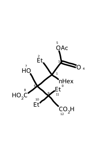 CCCCCCC(CC)(C(=O)OC(C)=O)C(O)(C(=O)O)C(CC)(CC)C(=O)O